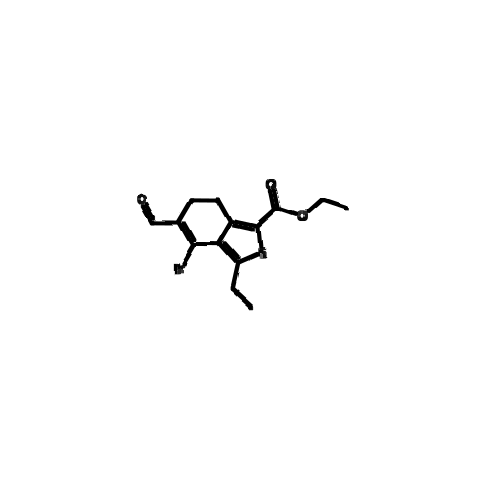 CCOC(=O)c1sc(CC)c2c1CCC(C=O)=C2Br